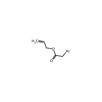 C=C[CH]OC(=O)CC(C)=O